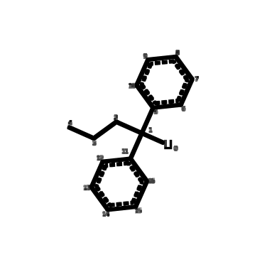 [Li][C](CCC)(c1ccccc1)c1ccccc1